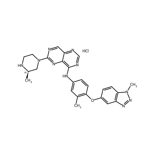 Cc1cc(Nc2ncnc3cnc(N4CCN[C@H](C)C4)nc23)ccc1Oc1ccc2c(c1)nnn2C.Cl